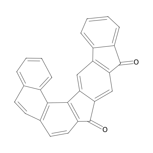 O=c1c2ccccc2c2cc3c(cc12)c(=O)c1ccc2ccc4ccccc4c2c13